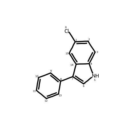 Clc1ccc2[nH][c]c(-c3ccccc3)c2c1